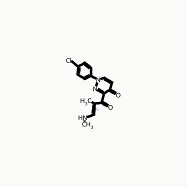 CN/C=C(\C)C(=O)c1nn(-c2ccc(Cl)cc2)ccc1=O